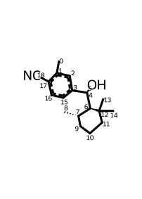 Cc1cc([C@H](O)[C@@H]2[C@@H](C)CCCC2(C)C)ccc1C#N